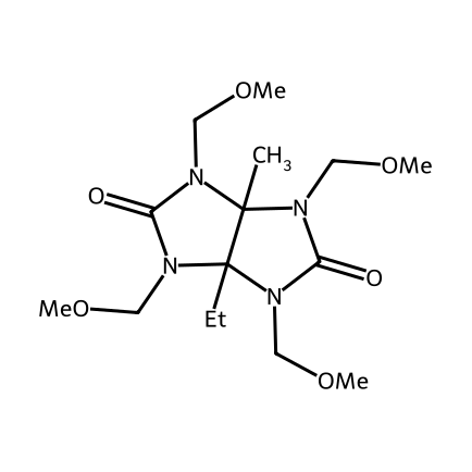 CCC12N(COC)C(=O)N(COC)C1(C)N(COC)C(=O)N2COC